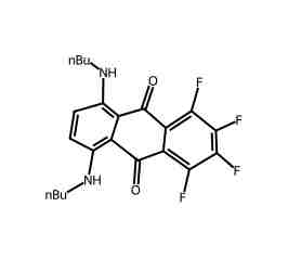 CCCCNc1ccc(NCCCC)c2c1C(=O)c1c(F)c(F)c(F)c(F)c1C2=O